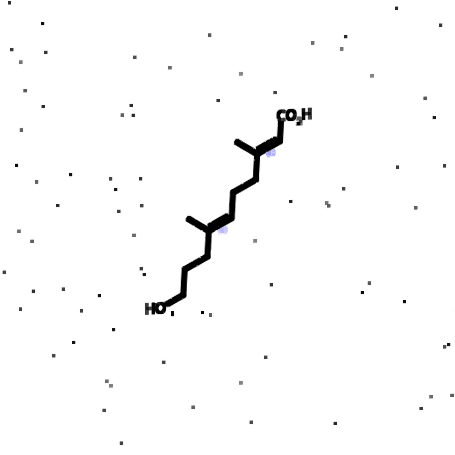 C/C(=C\C(=O)O)CC/C=C(\C)CCCO